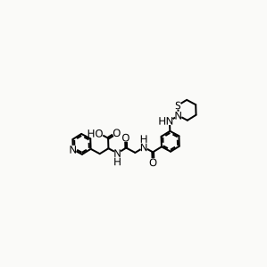 O=C(CNC(=O)c1cccc(NN2CCCCS2)c1)NC(Cc1cccnc1)C(=O)O